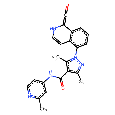 [2H]c1nn(-c2cccc3c2C=CNC3=C=O)c(C(F)(F)F)c1C(=O)Nc1ccnc(C(F)(F)F)c1